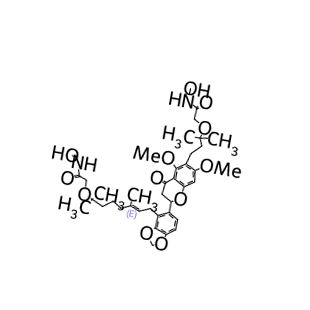 COc1cc2c(c(OC)c1CCC(C)(C)OCC(=O)NO)C(=O)CC(c1ccc3c(c1C/C=C(\C)CCCC(C)(C)OCC(=O)NO)OCO3)O2